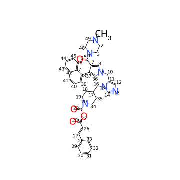 CN1CCN(C(=O)c2cn(Cc3cncn3CC3CCN(C(=O)OC(=O)/C=C/c4ccccc4)CC3)cc2-c2cccc3ccccc23)CC1